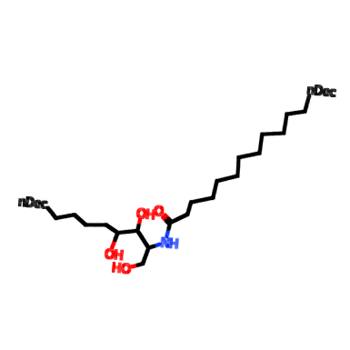 CCCCCCCCCCCCCCCCCCCCCC(=O)NC(CO)C(O)C(O)CCCCCCCCCCCCCC